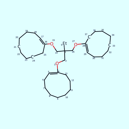 CCC(CO/C1=C/CCCCCCCC1)(CO/C1=C/CCCCCCCC1)CO/C1=C/CCCCCCCC1